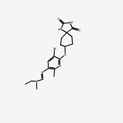 CCN(C)/C=N/c1cc(Br)c(OC2CCC3(CC2)NC(=O)NC3=O)nc1C